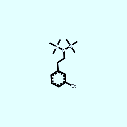 CCc1cccc(C[CH]N([Si](C)(C)C)[Si](C)(C)C)c1